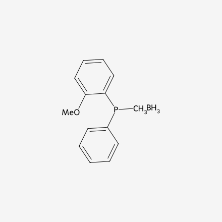 B.COc1ccccc1P(C)c1ccccc1